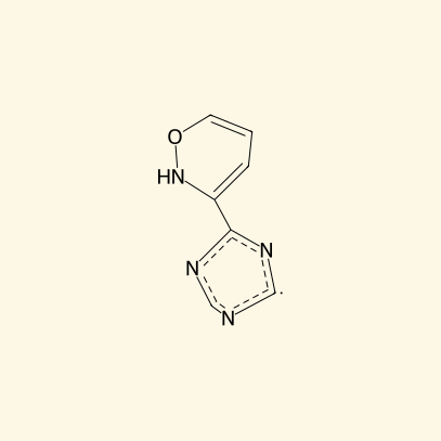 [c]1ncnc(C2=CC=CON2)n1